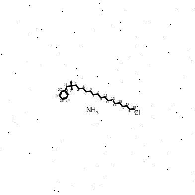 CC(C)(CCCCCCCCCCCCCCCCCCl)Cc1ccccc1.N